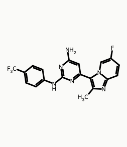 Cc1nc2ccc(F)cn2c1-c1cc(N)nc(Nc2ccc(C(F)(F)F)cc2)n1